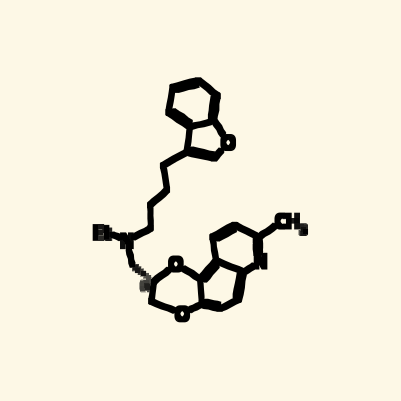 CCN(CCCCc1coc2ccccc12)C[C@H]1COc2ccc3nc(C)ccc3c2O1